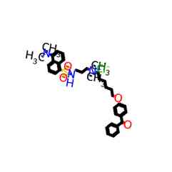 CN(C)c1cccc2c(S(=O)(=O)NCCC[N+](C)(C)CCCCCCOc3ccc(C(=O)c4ccccc4)cc3)cccc12.[Cl-]